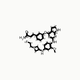 COc1cc(NC2CN(CCF)C2)ccc1Nc1nc(Oc2cccc(C=CC(N)=O)c2)c2cc[nH]c2n1